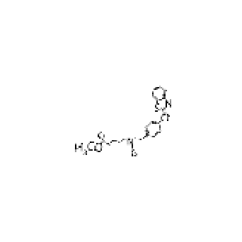 COC(=O)CCCCN(CCc1ccc(Oc2nc3ccccc3s2)cc1)C1CC1